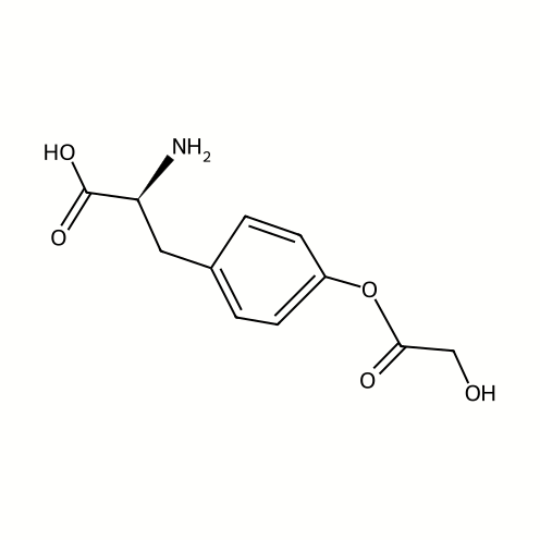 N[C@@H](Cc1ccc(OC(=O)CO)cc1)C(=O)O